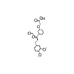 COc1ccc(CC[C@@H](OC=O)c2cccc(OCC(=O)O)c2)cc1OC